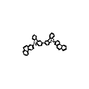 C1=CC2C=Cc3cc(-n4c5ccccc5c5cc(-c6ccc7c(c6)c6ccccc6n7-c6ccc7c(ccc8ccccc87)c6)ccc54)ccc3C2C=C1